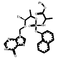 CC[C@H](OCn1cnc2c(=O)[nH]cnc21)C(C)OP(=O)(NC(C)C(=O)OC(C)C)Oc1cccc2ccccc12